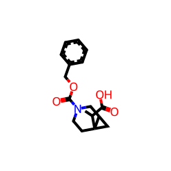 CC(C(=O)O)C12CCN(C(=O)OCc3ccccc3)CC1C2